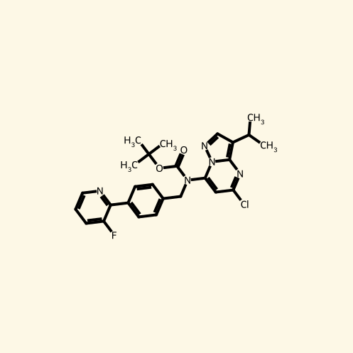 CC(C)c1cnn2c(N(Cc3ccc(-c4ncccc4F)cc3)C(=O)OC(C)(C)C)cc(Cl)nc12